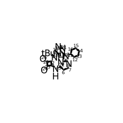 CC(C)(C)Nc1c(Nc2ccnc(N(c3ccccc3)n3ccnn3)n2)c(=O)c1=O